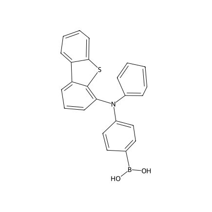 OB(O)c1ccc(N(c2ccccc2)c2cccc3c2sc2ccccc23)cc1